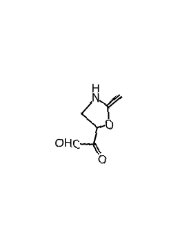 C=C1NCC(C(=O)C=O)O1